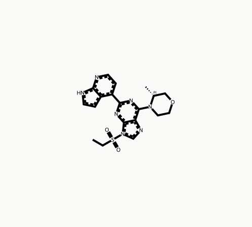 CCS(=O)(=O)n1cnc2c(N3CCOC[C@H]3C)nc(-c3ccnc4[nH]ccc34)nc21